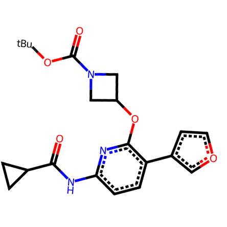 CC(C)(C)OC(=O)N1CC(Oc2nc(NC(=O)C3CC3)ccc2-c2ccoc2)C1